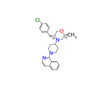 C[C@H]1CN(C2CCN(c3nccc4ccccc34)CC2)[C@@H](Cc2ccc(Cl)cc2)CO1